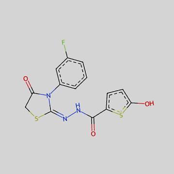 O=C(N/N=C1/SCC(=O)N1c1cccc(F)c1)c1ccc(O)s1